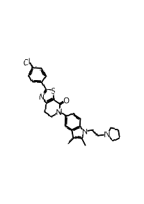 Cc1c(C)n(CCN2CCCC2)c2ccc(N3CCc4nc(-c5ccc(Cl)cc5)sc4C3=O)cc12